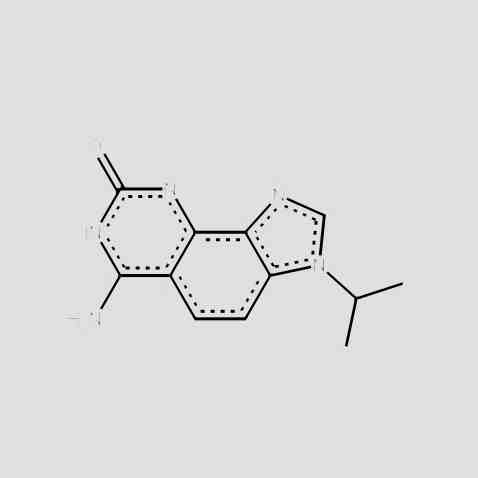 CC(C)n1cnc2c3nc(=O)[nH]c(N)c3ccc21